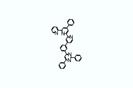 c1ccc(-c2cc(-c3ccccn3)nc(-c3cc(-c4cccc(-c5cc(-c6ccccc6)nc(-c6ccccc6)n5)c4)ccn3)c2)cc1